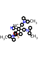 Cc1ccc2c(c1)c1ccccc1n2-c1ccc(-c2c(C#N)c(-c3ccncc3)c(-c3ccc(-n4c5ccccc5c5cc(C)ccc54)cc3)c(-c3cccc4sc5ccccc5c34)c2-c2ccc(-n3c4ccccc4c4cc(C)ccc43)cc2)cc1